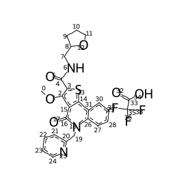 COc1c(C(=O)NCC2CCCO2)sc2c1c(=O)n(Cc1ccccn1)c1ccccc21.O=C(O)C(F)(F)F